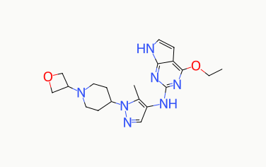 CCOc1nc(Nc2cnn(C3CCN(C4COC4)CC3)c2C)nc2[nH]ccc12